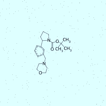 CC(C)(C)OC(=O)N1CCCC1c1cccc(CN2CCOCC2)c1